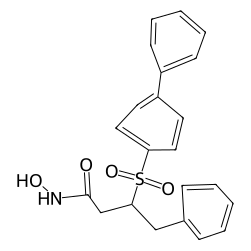 O=C(CC(Cc1ccccc1)S(=O)(=O)c1ccc(-c2ccccc2)cc1)NO